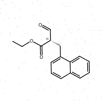 CCOC(=O)[C@H](C=O)Cc1cccc2ccccc12